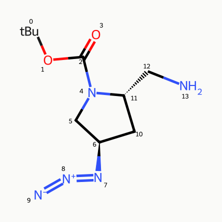 CC(C)(C)OC(=O)N1C[C@H](N=[N+]=[N-])C[C@H]1CN